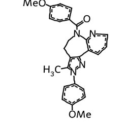 COc1ccc(C(=O)N2CCc3c(nn(-c4ccc(OC)cc4)c3C)-c3cccnc32)cc1